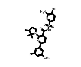 CC(C)COc1cc(F)cc(-c2ccc(C(=O)NS(=O)(=O)c3ccc(O)c(N)n3)c(N3CCC(C)C3(C)C)n2)c1